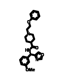 COc1cccc([C@@H](NC(=O)C2CCN(CCOc3ccccc3)CC2)c2cocn2)c1